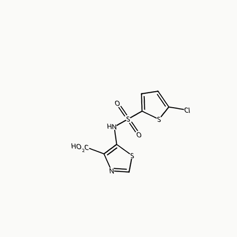 O=C(O)c1ncsc1NS(=O)(=O)c1ccc(Cl)s1